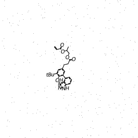 C=CC(=O)OC(C)COC(=O)CCc1cc(-c2cccc3[nH]nnc23)c(O)c(C(C)(C)C)c1